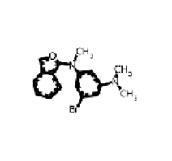 CN(C)c1cc(Br)cc(N(C)c2occ3ccccc23)c1